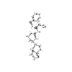 O=c1c2ccccc2ncn1Cc1cccc(-c2ccc3nccn3c2)c1